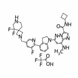 CNc1cc(N2CCc3c(-c4ncc(CN5CC6(CCNCC6(F)F)C5)cc4F)cccc32)nn2c(C(=O)NC3CCC3)cnc12.O=C(O)C(F)(F)F